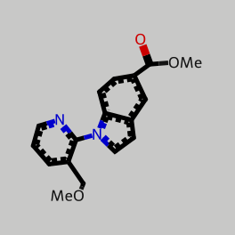 COCc1cccnc1-n1ccc2cc(C(=O)OC)ccc21